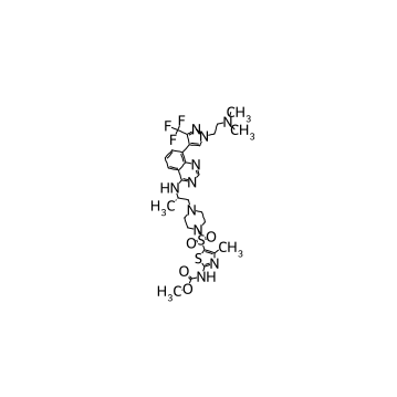 COC(=O)Nc1nc(C)c(S(=O)(=O)N2CCN(C[C@H](C)Nc3ncnc4c(-c5cn(CCN(C)C)nc5C(F)(F)F)cccc34)CC2)s1